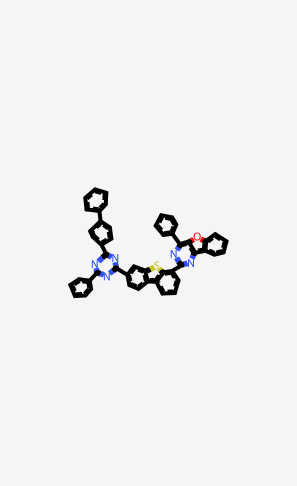 c1ccc(-c2ccc(-c3nc(-c4ccccc4)nc(-c4ccc5c(c4)sc4c(-c6nc(-c7ccccc7)c7oc8ccccc8c7n6)cccc45)n3)cc2)cc1